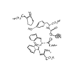 CC(C)(C)OC(=O)NC(Cc1ccc(O)cc1)C(=O)O.COC(=O)C(N)Cc1ccccc1.NC(Cc1c[nH]c2ccccc12)C(=O)O.O=C(O)[C@@H]1CCCN1